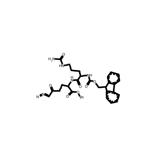 CC(C)OC(=O)C(CCC(=O)C=[N+]=[N-])NC(=O)C(CCCNC(N)=O)NC(=O)OCC1c2ccccc2-c2ccccc21